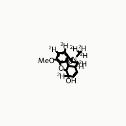 [2H]c1c([2H])c(OC)c2c3c1C[C@@]1([2H])N(C([2H])([2H])[2H])CC[C@@]34C(O2)C([2H])(O)C=C[C@]41[2H]